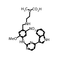 COc1cc(CNCCN(C)C(=O)O)c([N+](=O)[O-])cc1Nc1nccc(-c2c[nH]c3ccccc23)n1